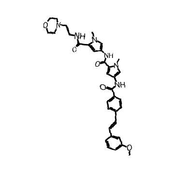 COc1cccc(C=Cc2ccc(C(=O)Nc3cc(C(=O)Nc4cc(C(=O)NCCN5CCOCC5)n(C)c4)n(C)c3)cc2)c1